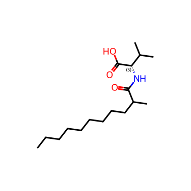 CCCCCCCCCC(C)C(=O)N[C@H](C(=O)O)C(C)C